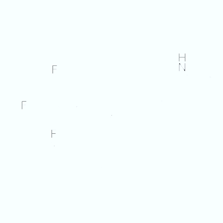 CCC(C)(CCCNC)C(F)(F)F